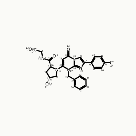 O=C(O)CNC(=O)[C@@H]1C[C@@H](O)CN1c1cc(=O)n2cc(-c3ccc(Cl)cc3)nc2n1Cc1ccccc1